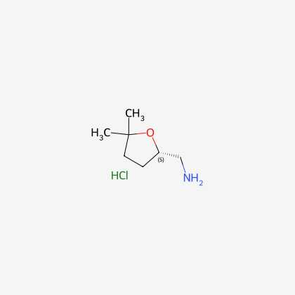 CC1(C)CC[C@@H](CN)O1.Cl